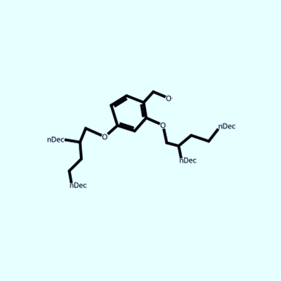 CCCCCCCCCCCCC(CCCCCCCCCC)COc1ccc(C[O])c(OCC(CCCCCCCCCC)CCCCCCCCCCCC)c1